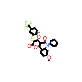 COc1ccc2c3oc(=O)c(Sc4cccc(C(F)(F)F)c4)c(O)c3c(=O)n(-c3ccccc3)c2c1